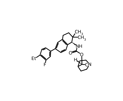 CCc1ccc(-c2ccc3c(c2)CCC(C)(C)[C@H]3NC(=O)O[C@@H]2CN3CCC2CC3)cc1F